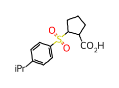 CC(C)c1ccc(S(=O)(=O)C2CCCC2C(=O)O)cc1